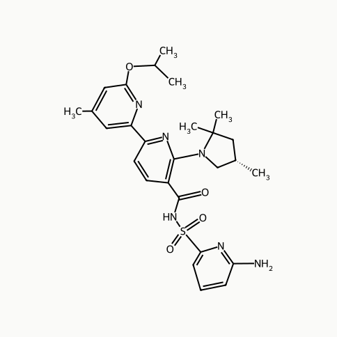 Cc1cc(OC(C)C)nc(-c2ccc(C(=O)NS(=O)(=O)c3cccc(N)n3)c(N3C[C@@H](C)CC3(C)C)n2)c1